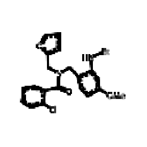 CCNc1cc(OC)ccc1CN(Cc1ccco1)C(=O)c1ccccc1Cl